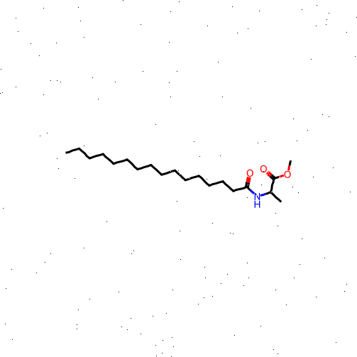 CCCCCCCCCCCCCCCC(=O)NC(C)C(=O)OC